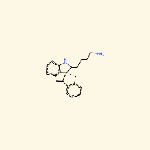 C=C1c2ccccc2C[C@@]12c1ccccc1N[C@H]2CCCCN